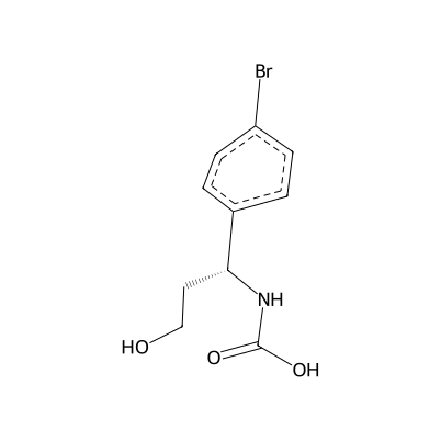 O=C(O)N[C@H](CCO)c1ccc(Br)cc1